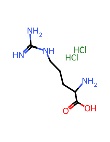 Cl.Cl.N=C(N)NCCCC(N)C(=O)O